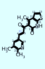 Cc1cc(/C=C/C(=O)c2c(C)c3ccsc3[nH]c2=O)cnc1C